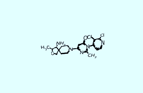 Cc1nc(N2CCC3(CC2)CO[C@@H](C)[C@H]3N)cc(=O)n1-c1ccnc(Cl)c1Cl